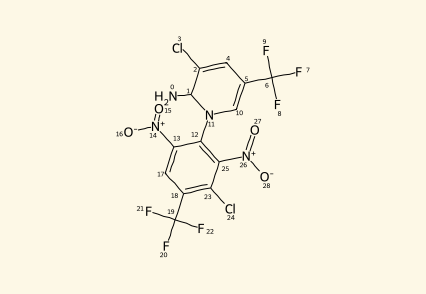 NC1C(Cl)=CC(C(F)(F)F)=CN1c1c([N+](=O)[O-])cc(C(F)(F)F)c(Cl)c1[N+](=O)[O-]